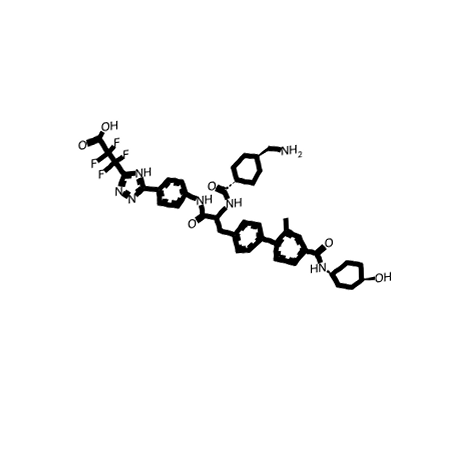 Cc1cc(C(=O)N[C@H]2CC[C@H](O)CC2)ccc1-c1ccc(CC(NC(=O)[C@H]2CC[C@H](CN)CC2)C(=O)Nc2ccc(-c3nnc(C(F)(F)C(F)(F)C(=O)O)[nH]3)cc2)cc1